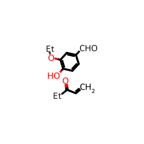 C=CC(=O)CC.CCOc1cc(C=O)ccc1O